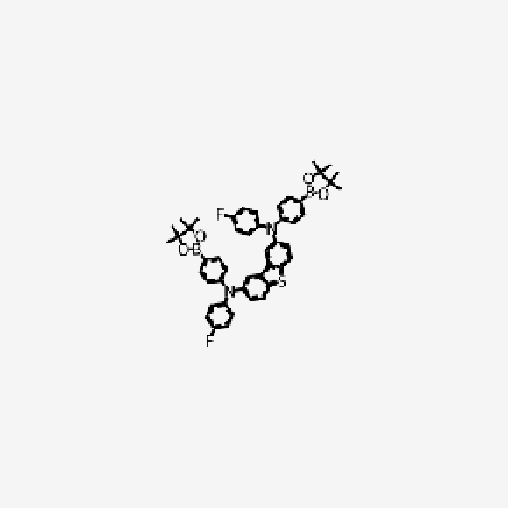 CC1(C)OB(c2ccc(N(c3ccc(F)cc3)c3ccc4sc5ccc(N(c6ccc(F)cc6)c6ccc(B7OC(C)(C)C(C)(C)O7)cc6)cc5c4c3)cc2)OC1(C)C